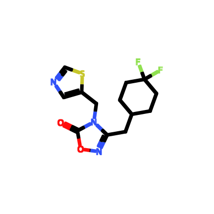 O=c1onc(CC2CCC(F)(F)CC2)n1Cc1cncs1